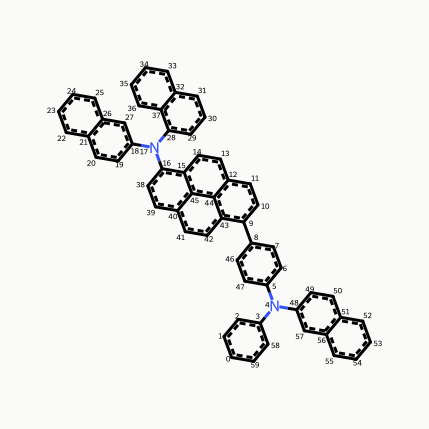 c1ccc(N(c2ccc(-c3ccc4ccc5c(N(c6ccc7ccccc7c6)c6cccc7ccccc67)ccc6ccc3c4c65)cc2)c2ccc3ccccc3c2)cc1